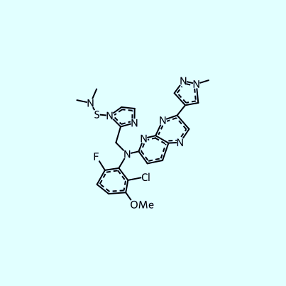 COc1ccc(F)c(N(Cc2nccn2SN(C)C)c2ccc3ncc(-c4cnn(C)c4)nc3n2)c1Cl